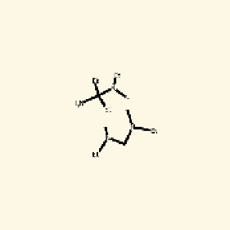 CCN(C)CN(C)CC.CCN(CC)C(N)(CC)CC